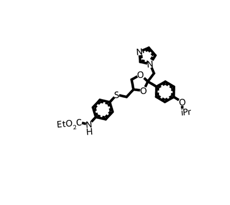 CCOC(=O)Nc1ccc(SCC2COC(Cn3ccnc3)(c3ccc(OC(C)C)cc3)O2)cc1